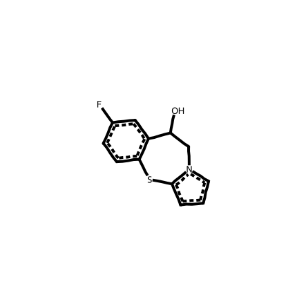 OC1Cn2cccc2Sc2ccc(F)cc21